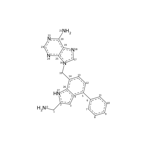 NCc1cc2c(-c3ccccc3)ccc(Cn3cnc4c(N)ncnc43)c2[nH]1